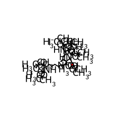 CC(C)(C)OC(=O)CC(NC(=O)OC(C)(C)C)c1c(O)c[n+](CCCCC(NC(=O)OC(C)(C)C)C(=O)OC(C)(C)C)cc1CCC(NC(=O)OC(C)(C)C)C(=O)OC(C)(C)C.[I-]